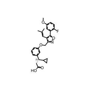 COc1ccc(F)c(-c2onc(COc3cccc([C@@H](CC(=O)O)C4CC4)c3)c2C=C(C)C)c1